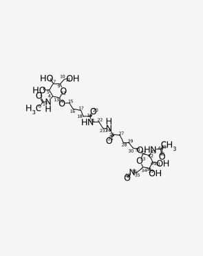 CC(=O)NC1C(O)[C@@H](O)C(CO)O[C@H]1OCCCCC(=O)NCCNC(=O)CCCCO[C@@H]1OC(CN=O)[C@H](O)C(O)C1NC(C)=O